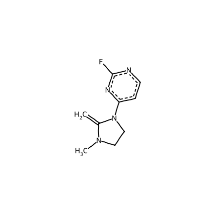 C=C1N(C)CCN1c1ccnc(F)n1